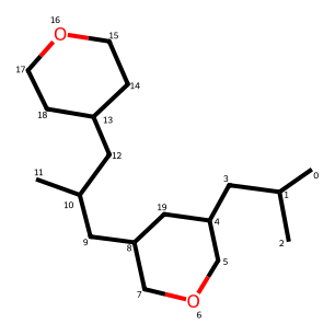 CC(C)CC1COCC(CC(C)CC2CCOCC2)C1